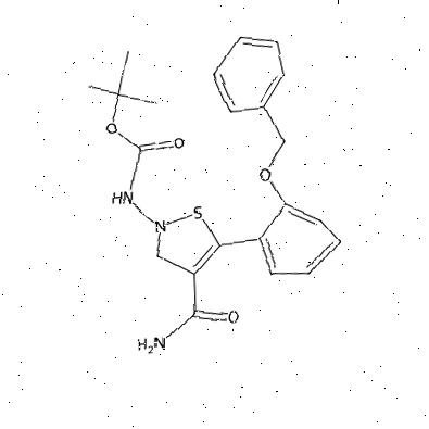 CC(C)(C)OC(=O)NN1CC(C(N)=O)=C(c2ccccc2OCc2ccccc2)S1